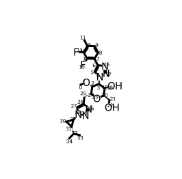 CO[C@@H]1[C@@H](n2cc(-c3ccc(C)c(F)c3F)nn2)[C@@H](O)[C@@H](CO)O[C@@H]1Cc1cn([C@@H]2C[C@H]2C(C)C)nn1